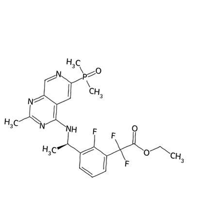 CCOC(=O)C(F)(F)c1cccc([C@@H](C)Nc2nc(C)nc3cnc(P(C)(C)=O)cc23)c1F